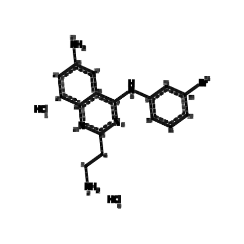 Cl.Cl.NCCc1nc(Nc2cccc(Br)c2)c2cc(N)ccc2n1